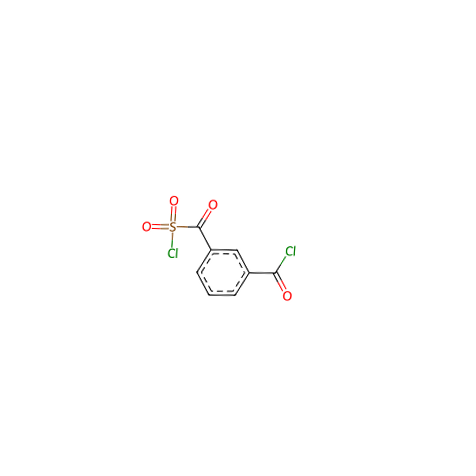 O=C(Cl)c1cccc(C(=O)S(=O)(=O)Cl)c1